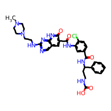 CN1CCN(CCNc2ncc3cc(C(=O)Nc4cc(C(=O)NC(CCNC(=O)O)c5ccccc5)ccc4Cl)c(=O)[nH]c3n2)CC1